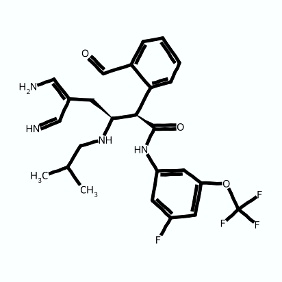 CC(C)CN[C@@H](C/C(C=N)=C/N)[C@H](C(=O)Nc1cc(F)cc(OC(F)(F)F)c1)c1ccccc1C=O